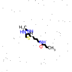 C=C1NC2CS[C@@H](CCCCNC(=O)CCC)[C@@H]2N1